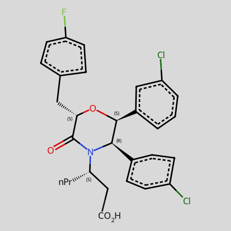 CCC[C@@H](CC(=O)O)N1C(=O)[C@H](Cc2ccc(F)cc2)O[C@@H](c2cccc(Cl)c2)[C@H]1c1ccc(Cl)cc1